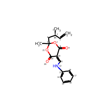 C=C[C@H](C)CC1(C)OC(=O)C(=CNc2ccccc2)C(=O)O1